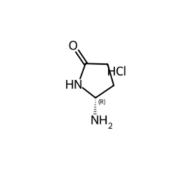 Cl.N[C@H]1CCC(=O)N1